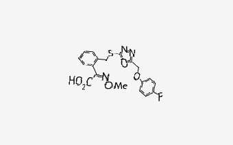 CON=C(C(=O)O)c1ccccc1CSc1nnc(COc2ccc(F)cc2)o1